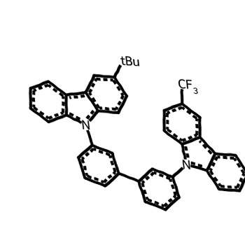 CC(C)(C)c1ccc2c(c1)c1ccccc1n2-c1cccc(-c2cccc(-n3c4ccccc4c4cc(C(F)(F)F)ccc43)c2)c1